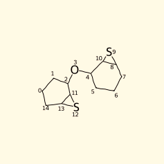 C1CC(OC2CCCC3SC23)C2SC2C1